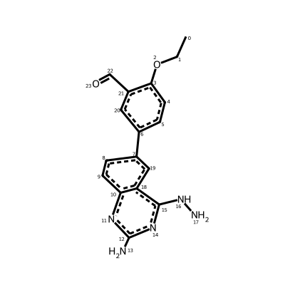 CCOc1ccc(-c2ccc3nc(N)nc(NN)c3c2)cc1C=O